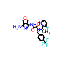 CC(c1ncccc1F)N(Cc1ccc(C(F)(F)F)cc1)C(=O)C(=O)Nc1cnc(N)c2c1COC2